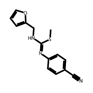 CSC(=Nc1ccc(C#N)cc1)NCc1ccco1